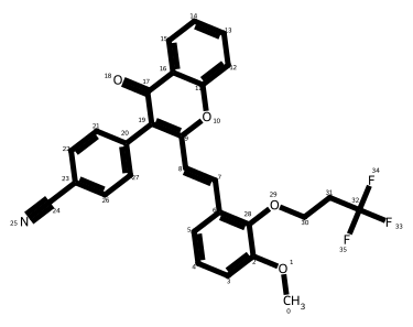 COc1cccc(C=Cc2oc3ccccc3c(=O)c2-c2ccc(C#N)cc2)c1OCCC(F)(F)F